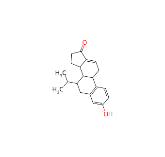 CC(C)C1Cc2cc(O)ccc2C2CC=C3C(=O)CCC3C21